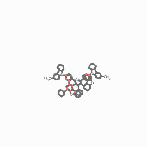 Cc1ccc2c(c1)c1ccccc1n2-c1ccc(-c2nc(-c3ccc(-n4c5ccccc5c5cc(C)ccc54)cc3)c(-c3cccc4oc5ccccc5c34)c(-c3ccccc3-c3nc(-c4ccccc4)nc(-c4ccccc4)n3)c2-c2cccc3oc4ccccc4c23)cc1